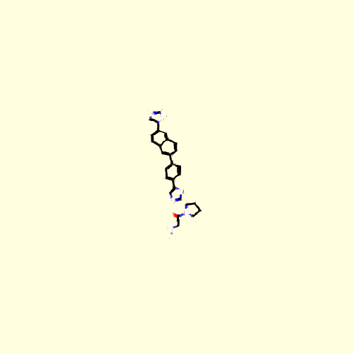 CNCC(=O)N1[C@@H](C)CC[C@H]1c1ncc(-c2ccc(-c3ccc4cc(-c5cnc[nH]5)ccc4c3)cc2)[nH]1